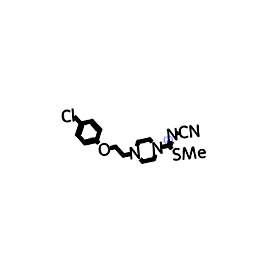 CS/C(=N\C#N)N1CCN(CCOc2ccc(Cl)cc2)CC1